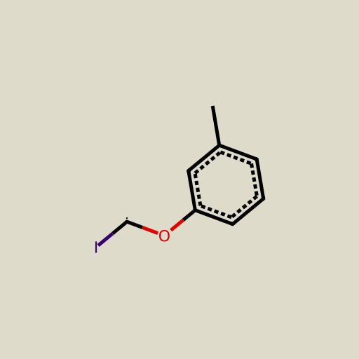 Cc1cccc(O[CH]I)c1